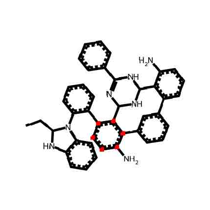 CCC1Nc2ccccc2N1c1ccccc1-c1ccc(N)c(-c2cccc(-c3cccc(N)c3C3NC(c4ccccc4)=NC(c4ccccc4)N3)c2)c1